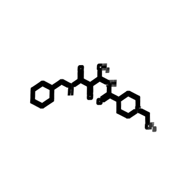 CC(NC(=O)C1CCN(CC(F)(F)F)CC1)C(=O)C(=O)NCC1CCCCC1